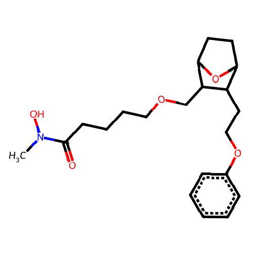 CN(O)C(=O)CCCCOCC1C2CCC(O2)C1CCOc1ccccc1